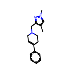 Cc1cn(C)nc1CN1CC=C(c2ccccc2)CC1